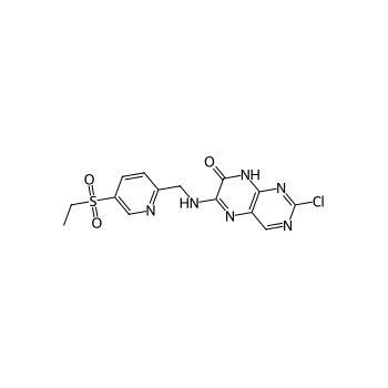 CCS(=O)(=O)c1ccc(CNc2nc3cnc(Cl)nc3[nH]c2=O)nc1